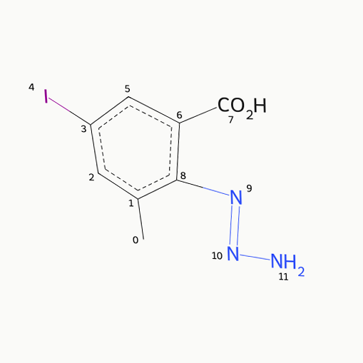 Cc1cc(I)cc(C(=O)O)c1N=NN